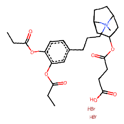 Br.Br.CCC(=O)Oc1ccc(CCC[N+]2(C)C3CCC2CC(OC(=O)CCC(=O)O)C3)cc1OC(=O)CC